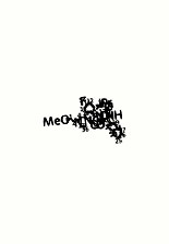 COCCN1CCN(C(=O)[C@@H](c2ccc(F)cc2)N2C(=O)[C@@H](C3Cc4ccccc4C3)NC(=O)[C@H]2CC(C)C)CC1